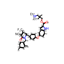 CCN(CC)CC(C)(C)COC(=O)c1cc2cc(Oc3ccc(-c4cc(C(F)(F)F)c(C#N)c(=O)n4Cc4ccc(C)cc4C)cc3)ccc2[nH]1